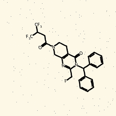 O=C(CC(C(F)(F)F)C(F)(F)F)N1CCc2c(nc(CF)n(C(c3ccccc3)c3ccccc3)c2=O)C1